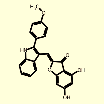 COc1ccc(-c2[nH]c3ccccc3c2C=C2Oc3cc(O)cc(O)c3C2=O)cc1